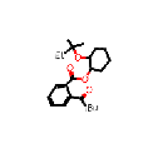 CCC(C)C(=O)c1ccccc1C(=O)OC1CCCCC1OC(C)(C)CC